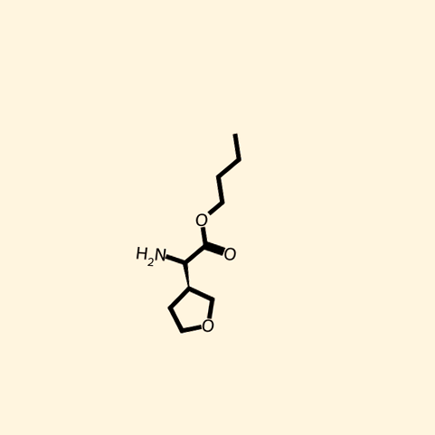 CCCCOC(=O)C(N)[C@@H]1CCOC1